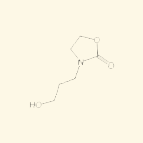 O=C1OCCN1CCCO